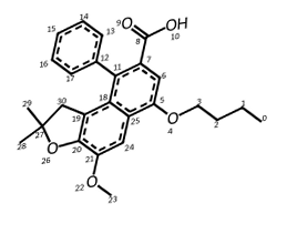 CCCCOc1cc(C(=O)O)c(-c2ccccc2)c2c3c(c(OC)cc12)OC(C)(C)C3